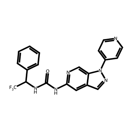 O=C(Nc1cc2cnn(-c3ccncc3)c2cn1)NC(c1ccccc1)C(F)(F)F